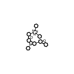 c1ccc(-c2nc(-c3ccccc3)nc(-c3cccc4c3oc3c4ccc4c3c3cc(-c5ccc6oc7ccccc7c6c5)ccc3n4-c3ccccc3)n2)cc1